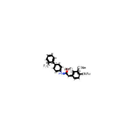 COc1ccc(CC(=O)Nc2ccc(-c3ccccc3C(F)(F)F)cc2)c(OC)c1OC